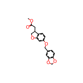 COC(=O)CC1COc2cc(OCc3ccc4c(c3)OCO4)ccc21